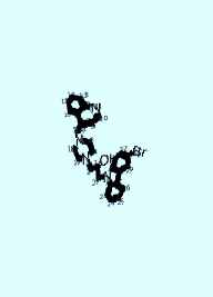 OC(CN1CCN(Cc2ccnc3ccccc23)CC1)Cn1c2ccccc2c2cc(Br)ccc21